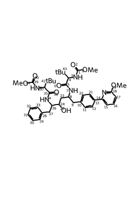 COC(=O)NC(C(=O)NC(Cc1ccc(-c2cccc(OC)n2)cc1)CC(O)C(Cc1ccccc1)NC(=O)C(NC(=O)OC)C(C)(C)C)C(C)(C)C